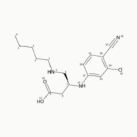 CCCCCNC[C@H](CC(=O)O)Nc1ccc(C#N)c(Cl)c1